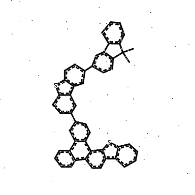 CC1(C)c2ccccc2-c2cc(-c3ccc4sc5ccc(-c6ccc7c(c6)c6ccccc6c6ccc8c9ccccc9sc8c67)cc5c4c3)ccc21